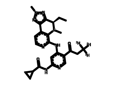 [2H]C([2H])([2H])CC(=O)c1cnc(NC(=O)C2CC2)cc1Nc1nccc2c1N(C)[C@H](CC)c1nn(C)nc1-2